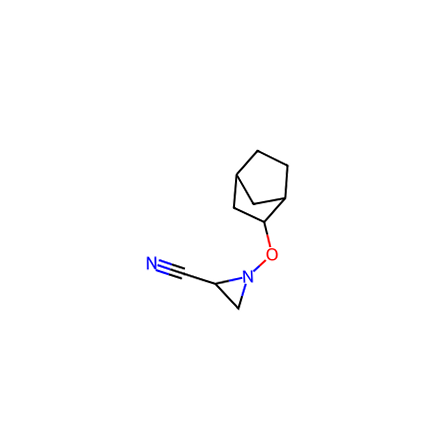 N#CC1CN1OC1CC2CCC1C2